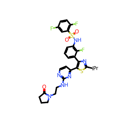 CC(C)c1nc(-c2cccc(NS(=O)(=O)c3cc(F)ccc3F)c2F)c(-c2ccnc(NCCN3CCCC3=O)n2)s1